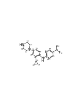 FC(F)c1cnc(Nc2ccc(N3CCNCC3)cc2C2CC2)nc1